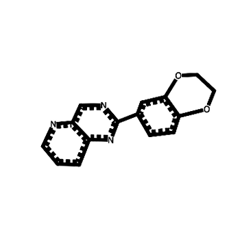 c1cnc2cnc(-c3ccc4c(c3)OCCO4)nc2c1